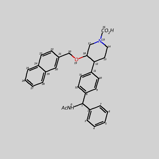 CC(=O)NC(c1ccccc1)c1ccc(C2CCN(C(=O)O)CC2OCc2ccc3ccccc3c2)cc1